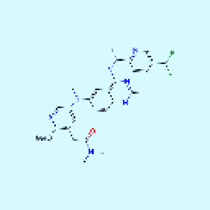 COc1ncc(N(C)c2ccc3nc(C)nc(N[C@H](C)c4ccc(C(F)F)cn4)c3c2)cc1CC(=O)N(C)C